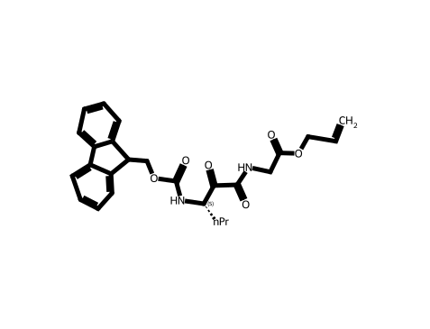 C=CCOC(=O)CNC(=O)C(=O)[C@H](CCC)NC(=O)OCC1c2ccccc2-c2ccccc21